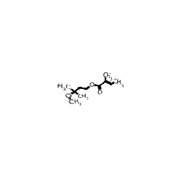 C/C=C(\C)C(=O)OCCC(C)(C)OC